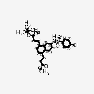 COC(=O)CCc1ccc(/C=C/C(=O)OC(C)(C)C)c2c1CCC(NS(=O)(=O)c1ccc(Cl)cc1)C2